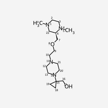 CN1CCN(C)[C@@H](COCCN2CCN(C3(CO)CC3)CC2)C1